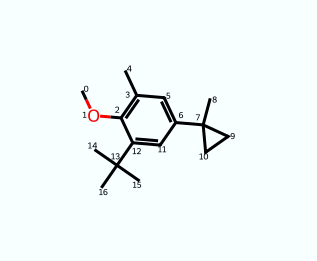 COc1c(C)cc(C2(C)CC2)cc1C(C)(C)C